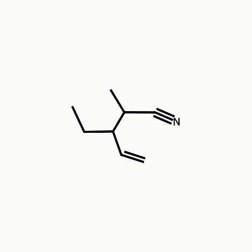 C=CC(CC)C(C)C#N